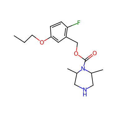 CCCOc1ccc(F)c(COC(=O)N2C(C)CNCC2C)c1